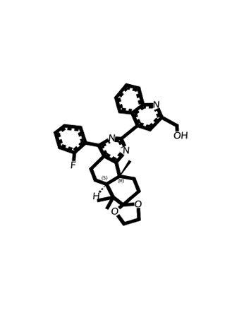 CC1(C)[C@H]2CCc3c(-c4ccccc4F)nc(-c4cc(CO)nc5ccccc45)nc3[C@]2(C)CCC12OCCO2